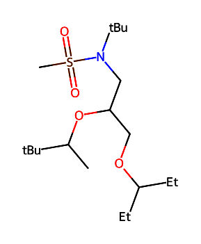 CCC(CC)OCC(CN(C(C)(C)C)S(C)(=O)=O)OC(C)C(C)(C)C